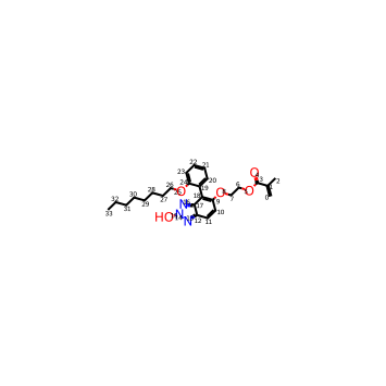 C=C(C)C(=O)OCCOc1ccc2nn(O)nc2c1-c1ccccc1OCCCCCCCC